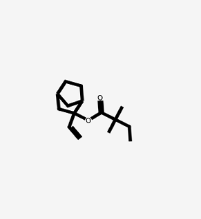 C=CC1(OC(=O)C(C)(C)CC)CC2CCC1C2